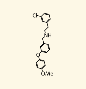 COc1ccc(Oc2cccc(CNCCc3cccc(Cl)c3)c2)cc1